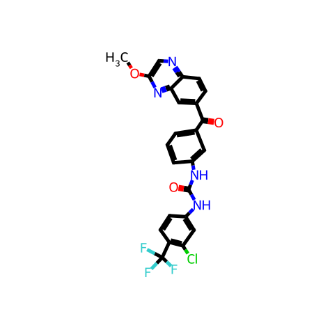 COc1cnc2ccc(C(=O)c3cccc(NC(=O)Nc4ccc(C(F)(F)F)c(Cl)c4)c3)cc2n1